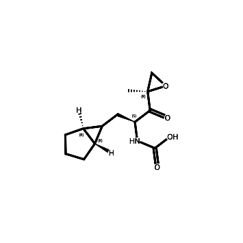 C[C@]1(C(=O)[C@H](CC2[C@@H]3CCC[C@@H]23)NC(=O)O)CO1